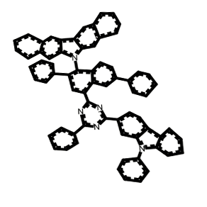 c1ccc(-c2ccc3c(-n4c5cc6ccccc6cc5c5cc6ccccc6cc54)c(-c4ccccc4)cc(-c4nc(-c5ccccc5)nc(-c5ccc6c7ccccc7n(-c7ccccc7)c6c5)n4)c3c2)cc1